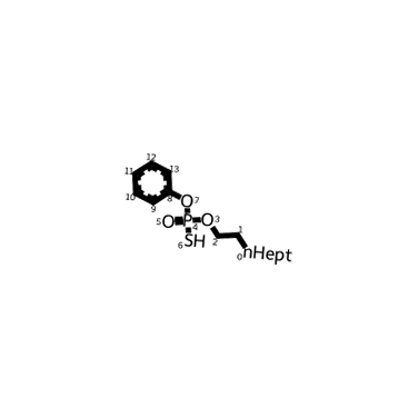 CCCCCCCCCOP(=O)(S)Oc1ccccc1